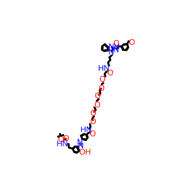 COCc1cccc(C(=O)/N=c2\[nH]c3ccccc3n2CCCCCNC(=O)CCOCCOCCOCCOCCOCCOCCNC(=O)c2ccc(/N=N/c3cc(CCNC(=O)OC(C)(C)C)ccc3O)cc2)c1